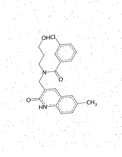 Cc1ccc2[nH]c(=O)c(CN(CCCO)C(=O)c3cccc(Cl)c3)cc2c1